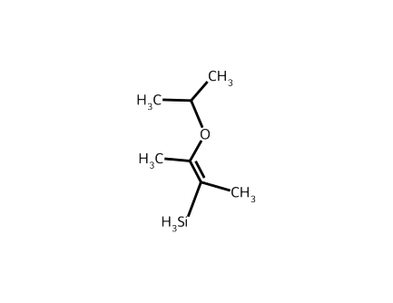 CC([SiH3])=C(C)OC(C)C